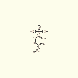 COc1ccc(P(=O)(O)O)cc1